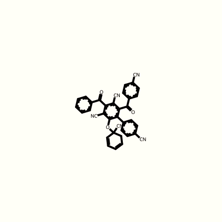 N#Cc1ccc(C(=O)c2c(C#N)c(C(=O)c3ccccc3)c(C#N)c(OC3(C#N)C=CC=CC3)c2-c2ccc(C#N)cc2)cc1